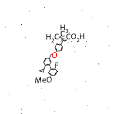 C=C(C)[C@@H](CC(=O)O)c1ccc(OCc2ccc(C3CC3)c(-c3cc(OC)ccc3F)c2)cc1